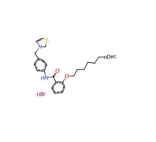 Br.CCCCCCCCCCCCCCCCOc1ccccc1C(=O)Nc1ccc(CN2C=CSC2)cc1